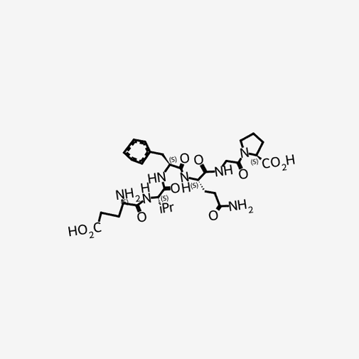 CC(C)[C@H](NC(=O)[C@@H](N)CCC(=O)O)C(=O)N[C@@H](Cc1ccccc1)C(=O)N[C@@H](CCC(N)=O)C(=O)NCC(=O)N1CCC[C@H]1C(=O)O